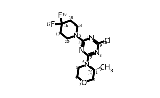 C[C@@H]1COCCN1c1nc(Cl)nc(N2CCC(F)(F)CC2)n1